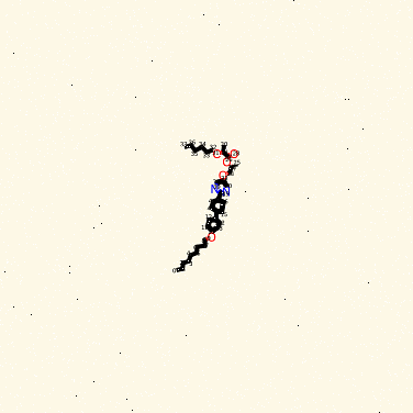 CCCCCCCCCOc1ccc(-c2ccc(-c3ncc(OC[C@H](C)OC(=O)C(C)OCCCCCC)cn3)cc2)cc1